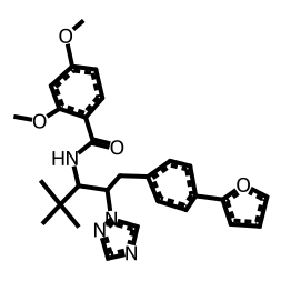 COc1ccc(C(=O)NC(C(Cc2ccc(-c3ccco3)cc2)n2cncn2)C(C)(C)C)c(OC)c1